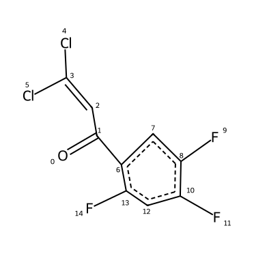 O=C(C=C(Cl)Cl)c1cc(F)c(F)cc1F